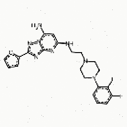 Nc1cc(NCCN2CCN(c3cccc(F)c3F)CC2)nc2nc(-c3ccco3)nn12